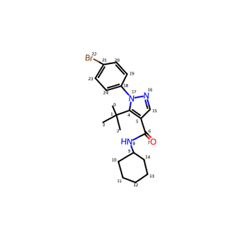 CC(C)(C)c1c(C(=O)NC2CCCCC2)cnn1-c1ccc(Br)cc1